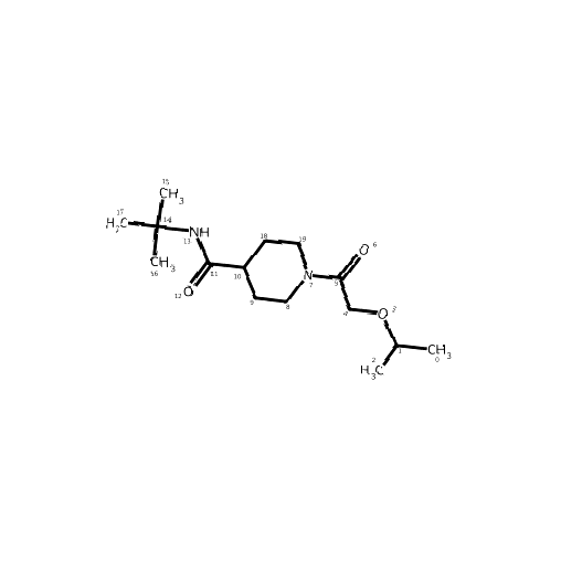 CC(C)OCC(=O)N1CCC(C(=O)NC(C)(C)C)CC1